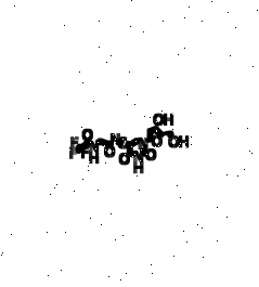 O=C(CNC(=O)C(F)(F)F)N=C=C1CN([C@H]2C[C@H](O)[C@@H](CO)O2)C(=O)NC1=O